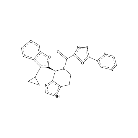 O=C(c1nnc(-c2cnccn2)o1)N1CCc2[nH]cnc2[C@H]1c1oc2ccccc2c1C1CC1